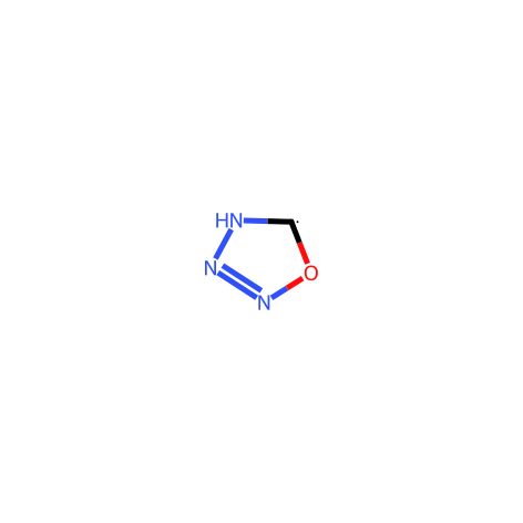 [CH]1NN=NO1